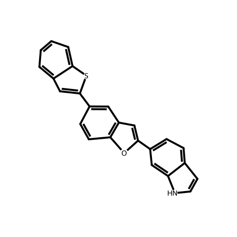 c1ccc2sc(-c3ccc4oc(-c5ccc6cc[nH]c6c5)cc4c3)cc2c1